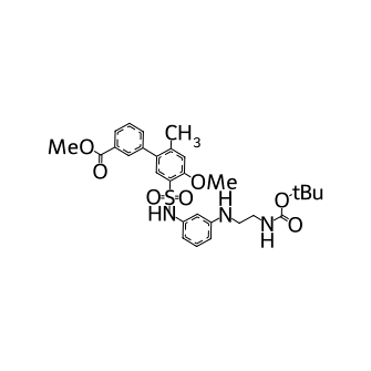 COC(=O)c1cccc(-c2cc(S(=O)(=O)Nc3cccc(NCCNC(=O)OC(C)(C)C)c3)c(OC)cc2C)c1